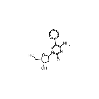 Nc1nc(=O)n([C@H]2C[C@H](O)[C@@H](CO)O2)cc1-c1ccccn1